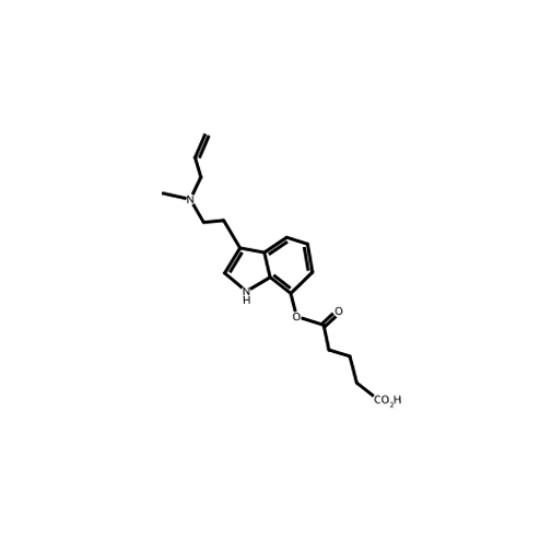 C=CCN(C)CCc1c[nH]c2c(OC(=O)CCCC(=O)O)cccc12